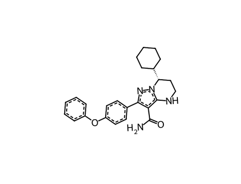 NC(=O)c1c(-c2ccc(Oc3ccccc3)cc2)nn2c1NCC[C@H]2C1CCCCC1